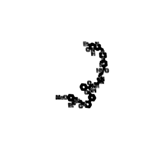 CCOc1cc(OC)ccc1CNCC(=O)N1CCCC(c2cccc(C(=O)N[C@@H](C(=O)NCCc3cn(CCNC(=O)c4ccc(N5CCN(Cc6cnc7cc(CC)c(=O)[nH]c7c6)CC5)cn4)nn3)C3CCCCC3)c2)C1